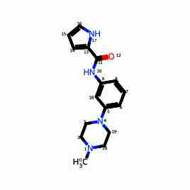 CN1CCN(c2cc[c]c(NC(=O)c3ccc[nH]3)c2)CC1